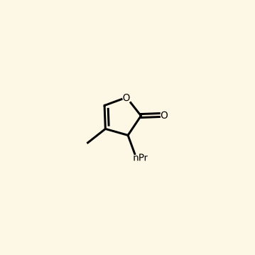 CCCC1C(=O)OC=C1C